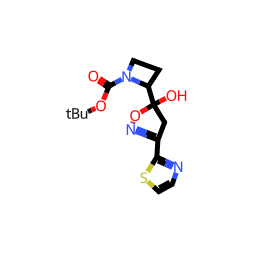 CC(C)(C)OC(=O)N1CCC1C1(O)CC(c2nccs2)=NO1